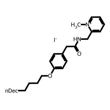 CCCCCCCCCCCCCCOc1ccc(CC(=O)NCc2cccc[n+]2C)cc1.[I-]